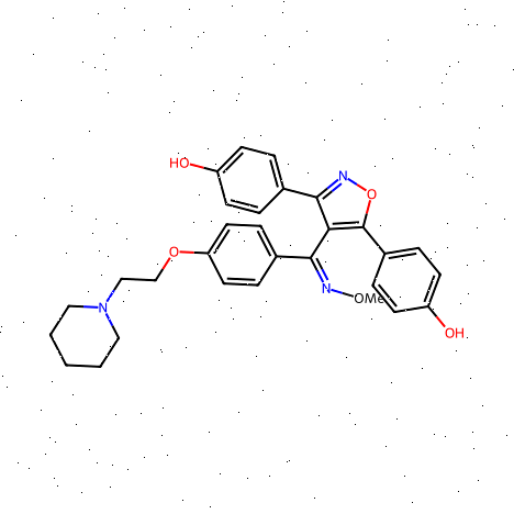 CO/N=C(/c1ccc(OCCN2CCCCC2)cc1)c1c(-c2ccc(O)cc2)noc1-c1ccc(O)cc1